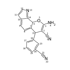 N#CC1=C(N)OC2C(=CC=C3C=CN=C32)C1c1cccc(C#N)c1